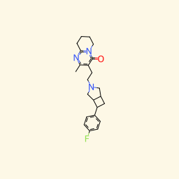 Cc1nc2n(c(=O)c1CCN1CC3CC(c4ccc(F)cc4)C3C1)CCCC2